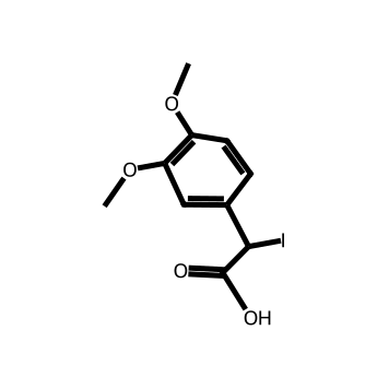 COc1ccc(C(I)C(=O)O)cc1OC